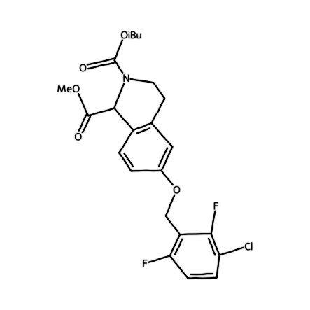 COC(=O)C1c2ccc(OCc3c(F)ccc(Cl)c3F)cc2CCN1C(=O)OCC(C)C